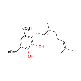 CCCCCCCCCCc1cc(C(=O)O)c(C/C=C(\C)CCC=C(C)C)c(O)c1O